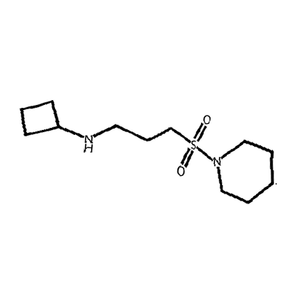 O=S(=O)(CCCNC1CCC1)N1CC[CH]CC1